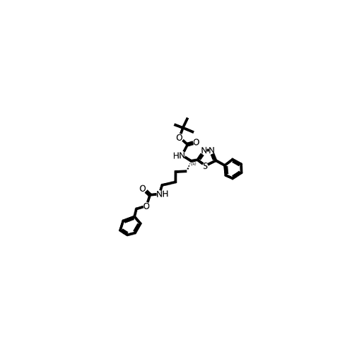 CC(C)(C)OC(=O)N[C@@H](CCCCNC(=O)OCc1ccccc1)c1nnc(-c2ccccc2)s1